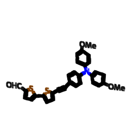 COc1ccc(N(c2ccc(C#Cc3ccc(-c4ccc(C=O)s4)s3)cc2)c2ccc(OC)cc2)cc1